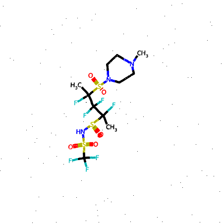 CN1CCN(S(=O)(=O)C(C)(F)C(F)(F)C(C)(F)S(=O)(=O)NS(=O)(=O)C(F)(F)F)CC1